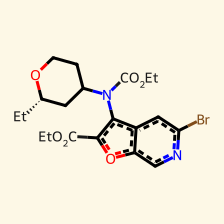 CCOC(=O)c1oc2cnc(Br)cc2c1N(C(=O)OCC)C1CCO[C@@H](CC)C1